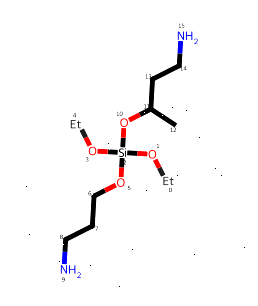 CCO[Si](OCC)(OCCCN)OC(C)CCN